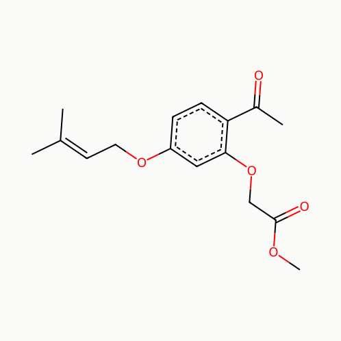 COC(=O)COc1cc(OCC=C(C)C)ccc1C(C)=O